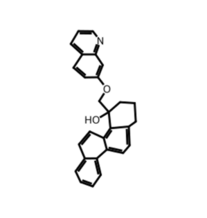 OC1(COc2ccc3cccnc3c2)CCCc2ccc3c(ccc4ccccc43)c21